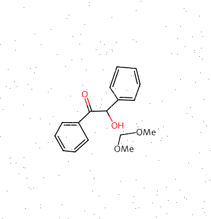 COCOC.O=C(c1ccccc1)C(O)c1ccccc1